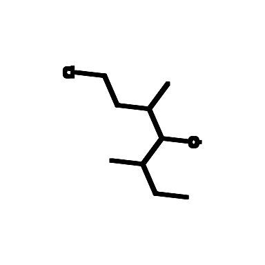 CCC(C)C([O])C(C)CCCl